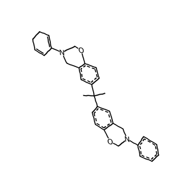 CC(C)(c1ccc2c(c1)CN(C1=CCCC=C1)CO2)c1ccc2c(c1)CN(c1ccccc1)CO2